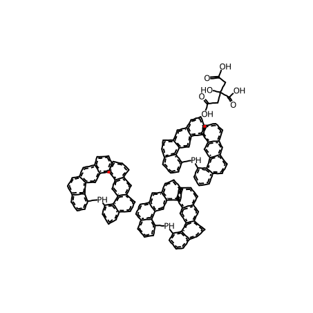 O=C(O)CC(O)(CC(=O)O)C(=O)O.c1ccc2cc3c(ccc4cccc(Pc5cccc6ccc7cc8ccccc8cc7c56)c43)cc2c1.c1ccc2cc3c(ccc4cccc(Pc5cccc6ccc7cc8ccccc8cc7c56)c43)cc2c1.c1ccc2cc3c(ccc4cccc(Pc5cccc6ccc7cc8ccccc8cc7c56)c43)cc2c1